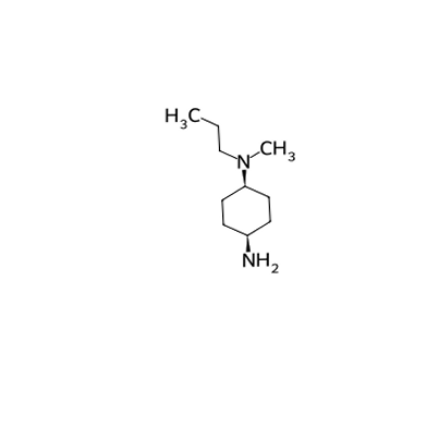 CCCN(C)[C@H]1CC[C@@H](N)CC1